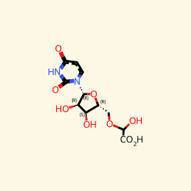 O=C(O)C(O)OC[C@H]1O[C@@H](n2ccc(=O)[nH]c2=O)[C@H](O)[C@@H]1O